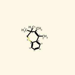 CC1=C(C)C(C)(C)CSc2ccccc21